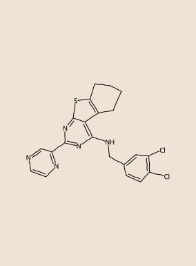 Clc1ccc(CNc2nc(-c3cnccn3)nc3sc4c(c23)CCCC4)cc1Cl